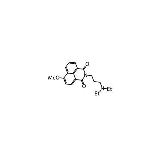 CCN(CC)CCCN1C(=O)c2cccc3c(OC)ccc(c23)C1=O